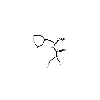 O=C(O)[C@H](CC1CCCCC1)NC(=O)[C@H](CS)C(F)(F)F